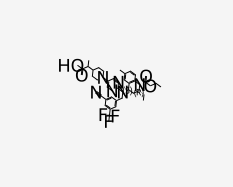 CCOC(=O)N1c2ccc(C)cc2[C@@H](N(Cc2cc(C#N)cc(C(F)(F)F)c2)c2ncc(N3CCC(C(C)C(=O)O)CC3)cn2)C[C@H]1CC